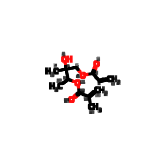 C=CC(=O)OCC(C)(O)C(C)OC(=O)C(=C)C